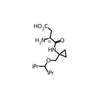 CC(C)C(OCC1(NC(=O)[C@@H](N)CC(=O)O)CC1)C(C)C